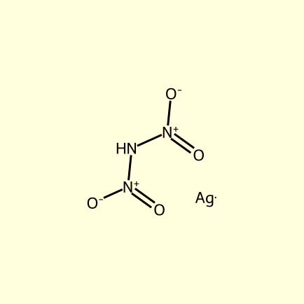 O=[N+]([O-])N[N+](=O)[O-].[Ag]